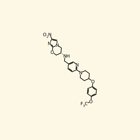 O=[N+]([O-])c1cn2c(n1)OC[C@@H](NCc1ccc(N3CCC(Oc4ccc(OC(F)(F)F)cc4)CC3)nc1)C2